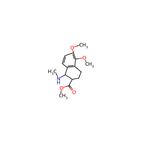 CNC1c2ccc(OC)c(OC)c2CCC1C(=O)OC